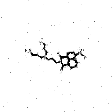 CCN(CC)c1ccc2c3c(cccc13)C(=O)N(CCCN(CCCN)CCCN)C2=O